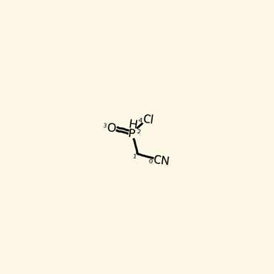 N#CC[PH](=O)Cl